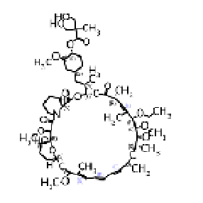 CCO[C@@H]1/C(C)=C/[C@@H](C)C(=O)C[C@@H]([C@H](C)C[C@@H]2CC[C@@H](OC(=O)C(C)(CO)CO)[C@H](OC)C2)OC(=O)[C@@H]2CCCCN2C(=O)C(=O)[C@]2(O)O[C@@H](CC[C@H]2C)C[C@H](OC)/C(C)=C/C=C/C=C/[C@@H](C)C[C@@H](C)C(=O)[C@@H]1OC